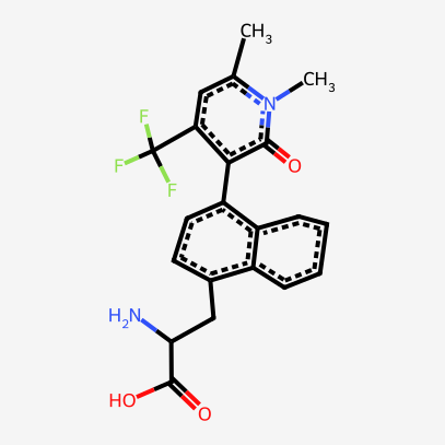 Cc1cc(C(F)(F)F)c(-c2ccc(CC(N)C(=O)O)c3ccccc23)c(=O)n1C